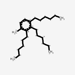 [CH2]c1ccc(CCCCCC)c(CCCCCC)c1CCCCCC